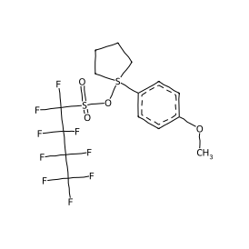 COc1ccc(S2(OS(=O)(=O)C(F)(F)C(F)(F)C(F)(F)C(F)(F)F)CCCC2)cc1